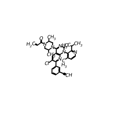 C#Cc1cccc(-c2nc3c(cc2Cl)c(N2CC(C)N(C(=O)C=C)CC2C)nc(=O)n3-c2c(C)ccnc2C(C)C)c1